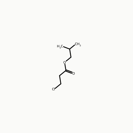 CC(C)COC(=O)CCCl